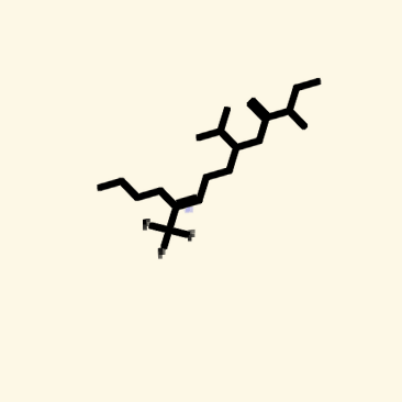 C=C(CC(CC/C=C(\CCCC)C(F)(F)F)C(C)C)C(C)CC